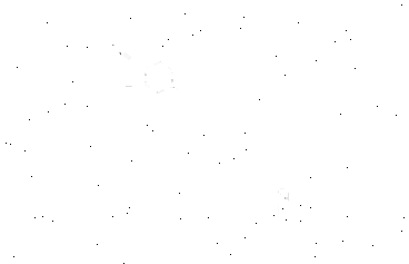 CC[SiH]1CCC(CCCC[C@H]2CC[C@H](c3ccc(C#N)c(F)c3)CC2)CC1